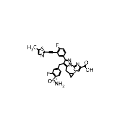 Cc1cnc(C#Cc2cc(-c3nn(-c4nc(C(=O)O)cs4)c(CC4CC4)c3Cc3ccc([S+](N)[O-])c(F)c3)ccc2F)s1